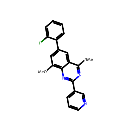 CNc1nc(-c2cccnc2)nc2c(OC)cc(-c3ccccc3F)cc12